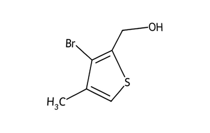 Cc1csc(CO)c1Br